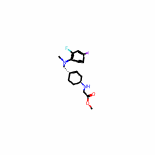 COC(=O)CN[C@H]1CC[C@H](CN(C)c2ccc(I)cc2F)CC1